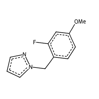 COc1ccc(Cn2cccn2)c(F)c1